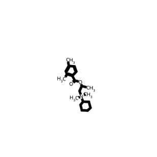 Cc1ccc(C(=O)OC(C)C[N+](C)(C)C2CCCCC2)c(C)c1